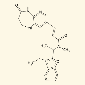 CCc1c(C(C)N(C)C(=O)C=Cc2cnc3c(c2)NCCC(=O)N3)oc2ccccc12